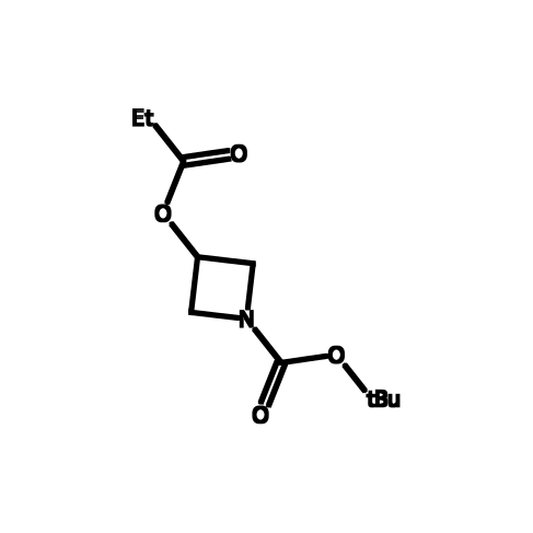 CCC(=O)OC1CN(C(=O)OC(C)(C)C)C1